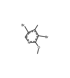 COc1ncc(Br)c(C)c1Br